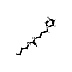 CCCCNC(=O)NCCCn1ccnc1